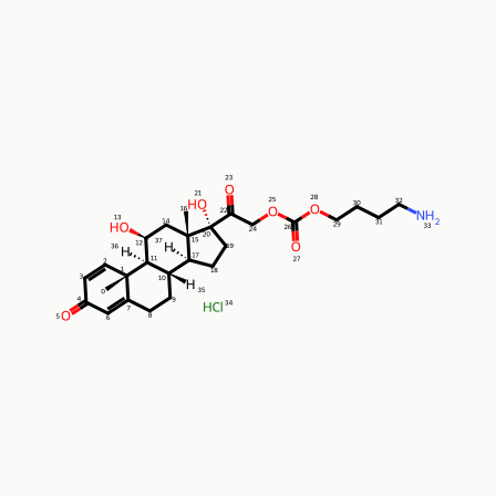 C[C@]12C=CC(=O)C=C1CC[C@@H]1[C@@H]2[C@@H](O)C[C@@]2(C)[C@H]1CC[C@]2(O)C(=O)COC(=O)OCCCCN.Cl